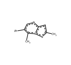 Cc1cc2ncc(C(C)C)c(C)n2n1